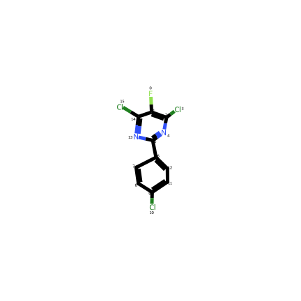 Fc1c(Cl)nc(-c2ccc(Cl)cc2)nc1Cl